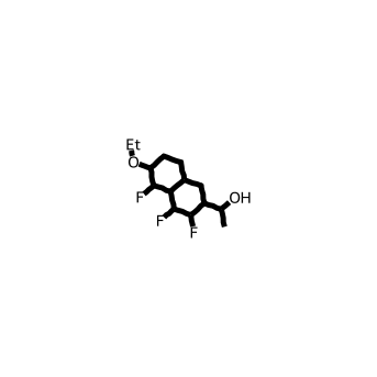 CCOC1CCC2CC(C(C)O)C(F)C(F)C2C1F